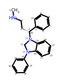 CNCC[C@H](c1ccccc1)N1[CH]N(c2ccccc2)c2ccccc21